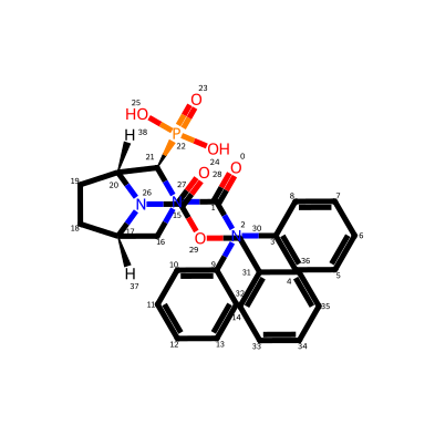 O=C(N(c1ccccc1)c1ccccc1)N1C[C@@H]2CC[C@H]([C@H]1P(=O)(O)O)N2C(=O)OCc1ccccc1